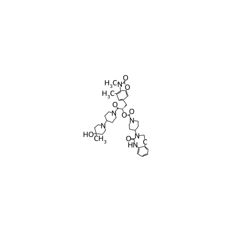 Cc1cc(C[C@@H](OC(=O)N2CCC(N3CCc4ccccc4NC3=O)CC2)C(=O)N2CCC(N3CCC(C)(O)CC3)CC2)cc2oc(=O)n(C)c12